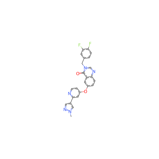 Cn1cc(-c2cc(Oc3ccc4ncn(Cc5ccc(F)c(F)c5)c(=O)c4c3)ccn2)cn1